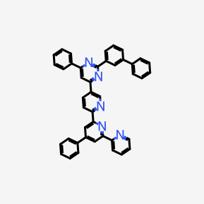 c1ccc(-c2cccc(-c3nc(-c4ccccc4)cc(-c4ccc(-c5cc(-c6ccccc6)cc(-c6ccccn6)n5)nc4)n3)c2)cc1